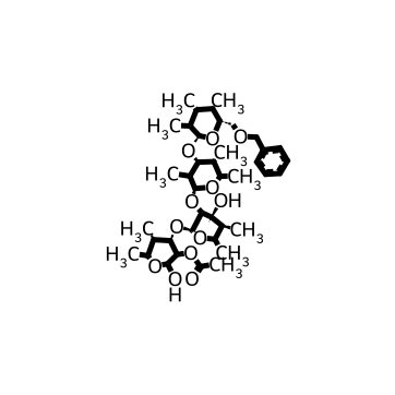 CC(=O)OC1C(O)OC(C)[C@H](C)[C@@H]1O[C@@H]1OC(C)[C@H](C)[C@H](O)C1O[C@@H]1OC(C)[C@H](C)[C@H](O[C@H]2O[C@@H](COCc3ccccc3)[C@@H](C)C(C)C2C)C1C